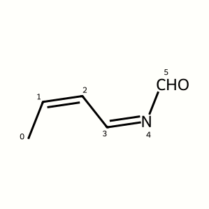 C/C=C\C=N/C=O